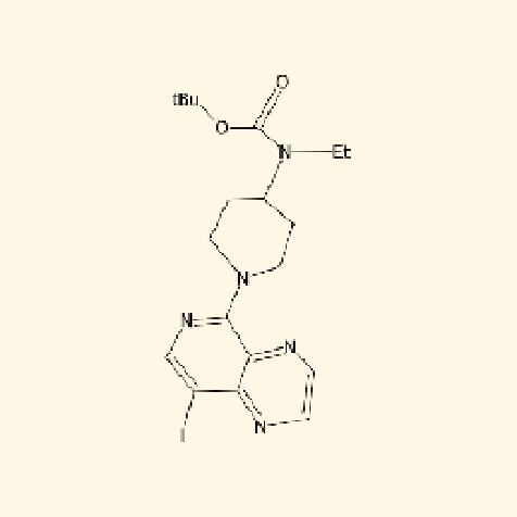 CCN(C(=O)OC(C)(C)C)C1CCN(c2ncc(I)c3nccnc23)CC1